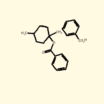 CC1CCC(C)(OC(=O)c2ccccc2)CC1.O=C(O)c1ccccc1